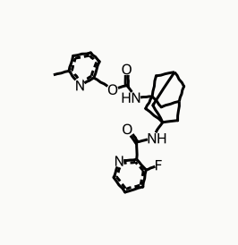 Cc1cccc(OC(=O)NC23CC4CC(C2)CC(NC(=O)c2ncccc2F)(C4)C3)n1